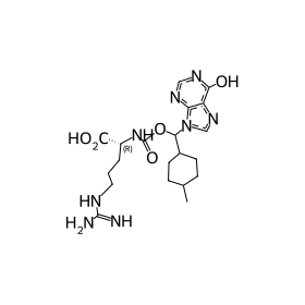 CC1CCC(C(OC(=O)N[C@H](CCCNC(=N)N)C(=O)O)n2cnc3c(O)ncnc32)CC1